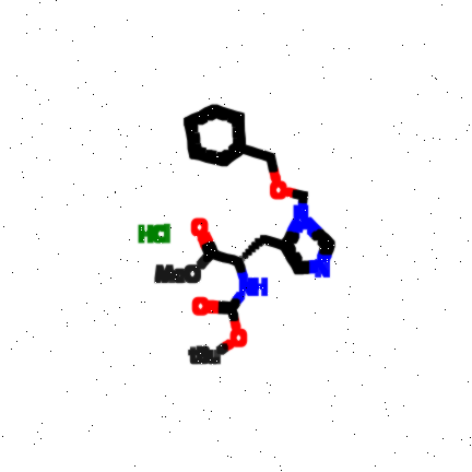 COC(=O)[C@H](Cc1cncn1COCc1ccccc1)NC(=O)OC(C)(C)C.Cl